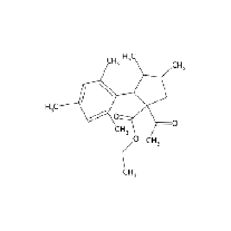 CCOC(=O)C1(C(C)=O)CC(C)C(C)C1c1c(C)cc(C)cc1C